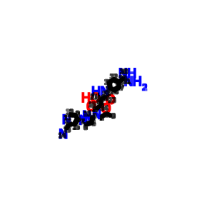 CC1CN(c2ccn(-c3ccnc(C#N)c3)n2)C(=O)C(C(O)C(=O)Nc2ccc(C(=N)N)cc2)O1